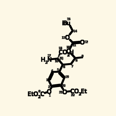 CCOC(=O)Oc1ccc(C(CC(C)OC(=O)OCC(C)CC)[C@H](N)C(=O)O)cc1OC(=O)OCC